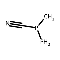 CP(P)C#N